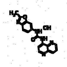 Cc1nc2ccc(NC(=O)Nc3ccnc4cccnc34)cc2o1.Cl